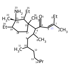 CC/C(C)=C\C(=O)C(C(C)CC(C)CCC(C)C)C1(C)CCC(CC)[C@](C)(N)C1CC